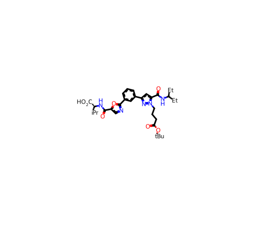 CCC(CC)NC(=O)c1cc(-c2cccc(-c3ncc(C(=O)N[C@H](C(=O)O)C(C)C)o3)c2)nn1CCCC(=O)OC(C)(C)C